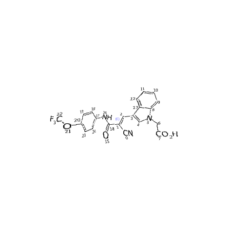 N#C/C(=C\c1cn(CC(=O)O)c2ccccc12)C(=O)Nc1ccc(OC(F)(F)F)cc1